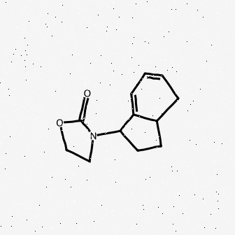 O=C1OCCN1C1CCC2CC=CC=C21